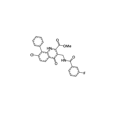 COC(=O)c1[nH]c2c(-c3ccccc3)c(Cl)ccc2c(=O)c1CNC(=O)c1cccc(F)c1